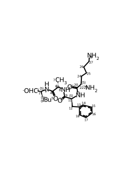 CC[C@H](C)[C@@H]([C]=O)NC(=O)[C@H](C)NC(=O)[C@H](Cc1ccccc1)NC(=O)[C@@H](N)CCCCN